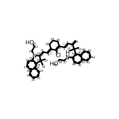 C=C(/C=C/C1=C(Cl)C(=C/C=C2/N(CCO)c3ccc4ccccc4c3C2(C)C)/CCC1)C(C)(C)c1c(NCCO)ccc2ccccc12